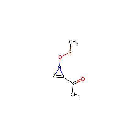 CSON1C=C1C(C)=O